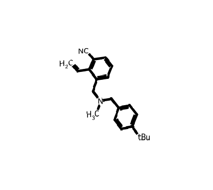 C=Cc1c(C#N)cccc1CN(C)Cc1ccc(C(C)(C)C)cc1